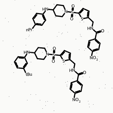 CC(C)(C)c1cccc(NC2CCN(S(=O)(=O)c3ccc(CNC(=O)c4ccc([N+](=O)[O-])cc4)s3)CC2)c1.CCCc1ccc(NC2CCN(S(=O)(=O)c3ccc(CNC(=O)c4ccc([N+](=O)[O-])cc4)s3)CC2)cc1